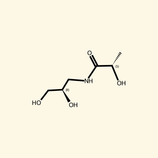 C[C@H](O)C(=O)NC[C@@H](O)CO